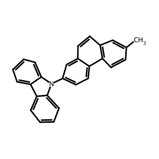 Cc1ccc2c(ccc3cc(-n4c5ccccc5c5ccccc54)ccc32)c1